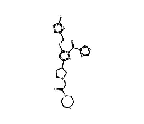 O=C(CN1CCC(c2cc(SCc3ccc(Cl)s3)n(C(=O)c3cccs3)n2)C1)N1CCOCC1